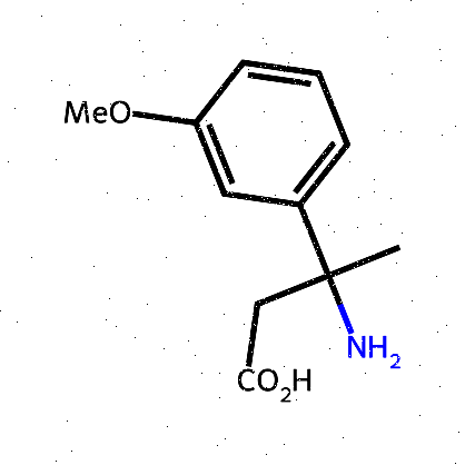 COc1cccc(C(C)(N)CC(=O)O)c1